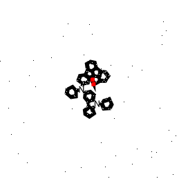 C1=CCC(N(c2ccc3c(c2)C24c5ccccc5-c5cccc(c52)C2C=CC=C3C24)c2ccc3c(c2)c2ccccc2n3-c2ccccc2)C=C1